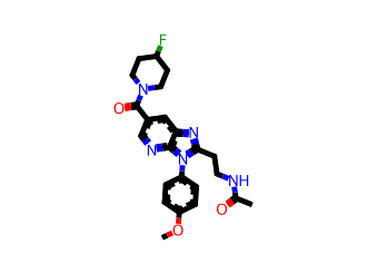 COc1ccc(-n2c(CCNC(C)=O)nc3cc(C(=O)N4CCC(F)CC4)cnc32)cc1